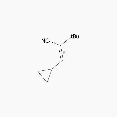 CC(C)(C)/C(C#N)=C/C1CC1